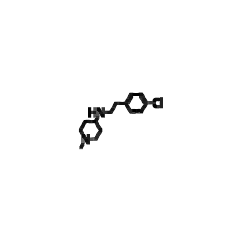 CN1CCC(NCCc2ccc(Cl)cc2)CC1